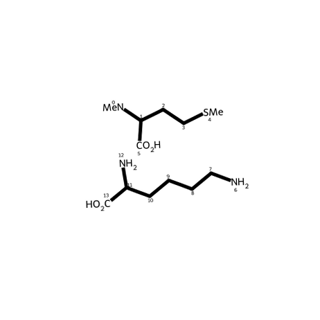 CNC(CCSC)C(=O)O.NCCCCC(N)C(=O)O